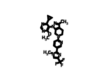 COc1ncnc(C2CC2)c1-n1nc(C)c2c1CN(c1ccc(-c3nc(C(F)(F)F)cn3C)cn1)CC2